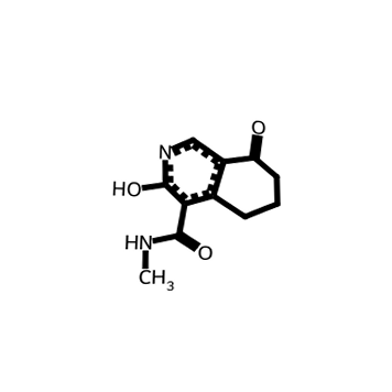 CNC(=O)c1c(O)ncc2c1CCCC2=O